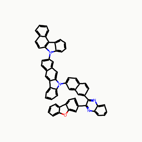 c1ccc2c(c1)ccc1c2c2ccccc2n1-c1ccc2cc3c4ccccc4n(-c4ccc5ccc(-c6nc7ccccc7nc6-c6ccc7c(c6)oc6ccccc67)cc5c4)c3cc2c1